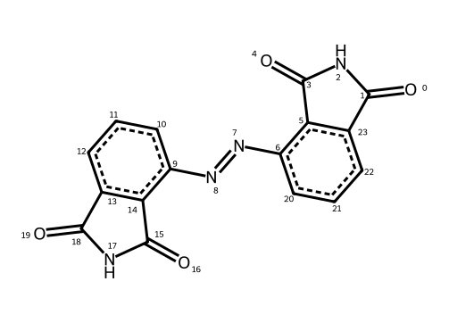 O=C1NC(=O)c2c(N=Nc3cccc4c3C(=O)NC4=O)cccc21